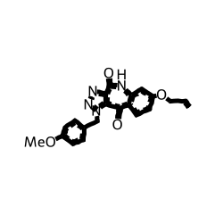 C=CCOc1ccc2c(=O)c3c(nnn3Cc3ccc(OC)cc3)c(=O)[nH]c2c1